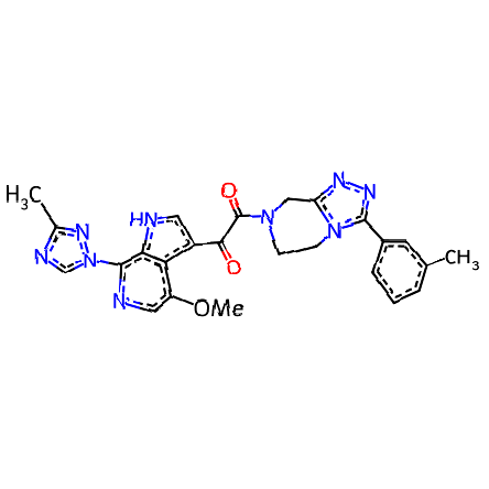 COc1cnc(-n2cnc(C)n2)c2[nH]cc(C(=O)C(=O)N3CCn4c(nnc4-c4cccc(C)c4)C3)c12